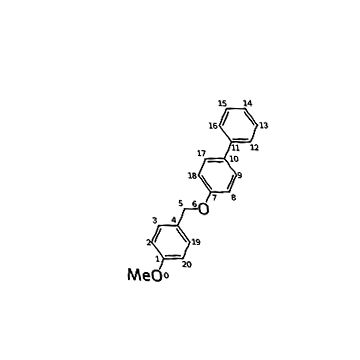 COc1ccc(COc2ccc(-c3ccccc3)cc2)cc1